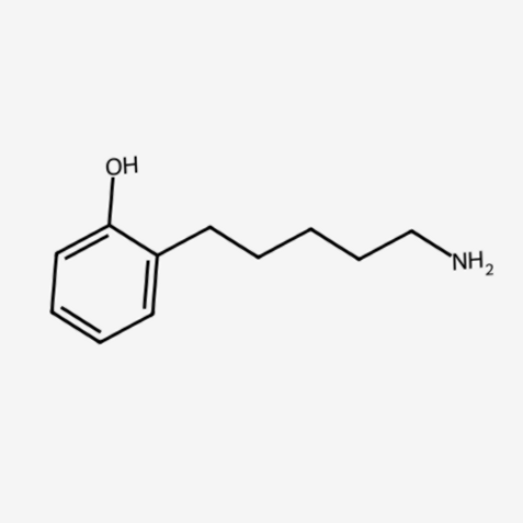 NCCCCCc1ccccc1O